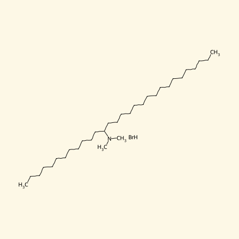 Br.CCCCCCCCCCCCCCCCCC(CCCCCCCCCCCC)N(C)C